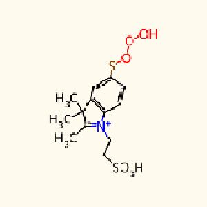 CC1=[N+](CCS(=O)(=O)O)c2ccc(SOOO)cc2C1(C)C